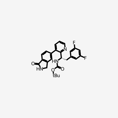 CC(C)(C)OC(=O)N[C@@H](Cc1cc(F)cc(F)c1)c1ncccc1-c1ccc2c(c1)CNC2=O